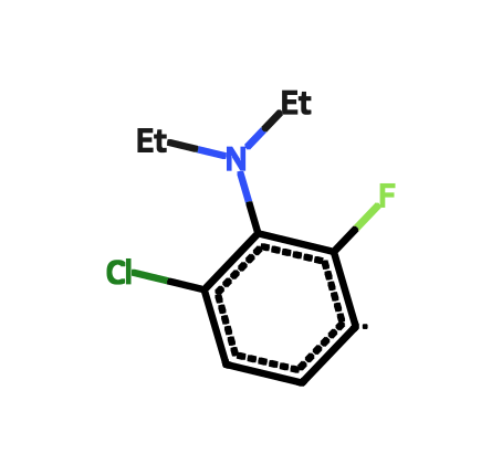 CCN(CC)c1c(F)[c]ccc1Cl